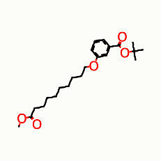 COC(=O)CCCCCCCCCOc1cccc(C(=O)OC(C)(C)C)c1